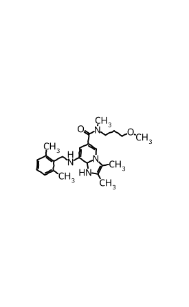 COCCCN(C)C(=O)C1=CN2C(C)=C(C)NC2C(NCc2c(C)cccc2C)=C1